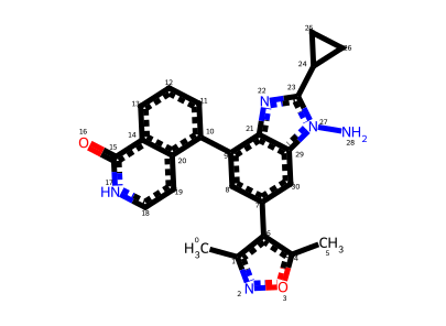 Cc1noc(C)c1-c1cc(-c2cccc3c(=O)[nH]ccc23)c2nc(C3CC3)n(N)c2c1